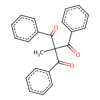 CC(C(=O)c1ccccc1)(C(=O)c1ccccc1)C(=O)c1ccccc1